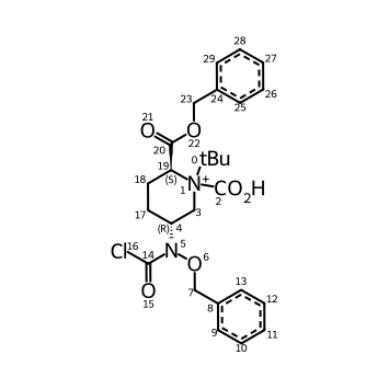 CC(C)(C)[N+]1(C(=O)O)C[C@H](N(OCc2ccccc2)C(=O)Cl)CC[C@H]1C(=O)OCc1ccccc1